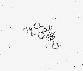 CC(CC(=O)c1ccccc1)N(Nc1ccc(C2CC2N)cc1)C(=O)OCc1ccccc1